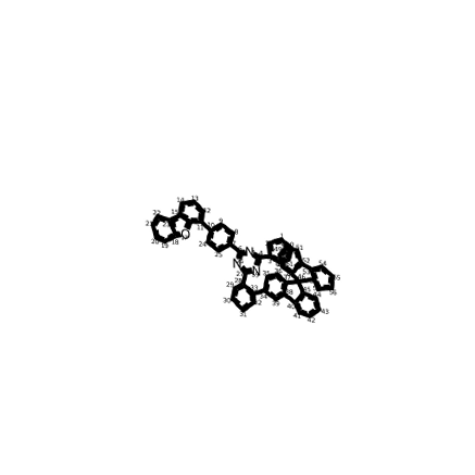 c1ccc(-c2nc(-c3ccc(-c4cccc5c4oc4ccccc45)cc3)nc(-c3ccccc3-c3ccc4c(c3)-c3ccccc3C43c4ccccc4-c4ccccc43)n2)cc1